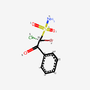 NS(=O)(=O)[C@@](Cl)(Br)C(=O)c1ccccc1